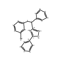 Brc1[c]ccc(CC(c2ccccc2)c2noc(-c3ccccc3)n2)c1